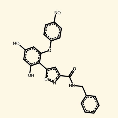 O=Nc1ccc(Oc2cc(O)cc(O)c2-c2cc(C(=O)NCc3ccccc3)no2)cc1